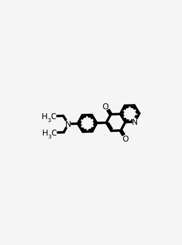 CCN(CC)c1ccc(C2=CC(=O)c3ncccc3C2=O)cc1